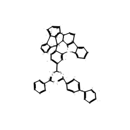 CC1C=Cc2c3n(c4ccccc24)-c2cc(C4N=C(c5ccccc5)N=C(c5ccc(-c6ccccc6)cc5)N4)ccc2C2(c4ccccc4-c4ccccc42)C31